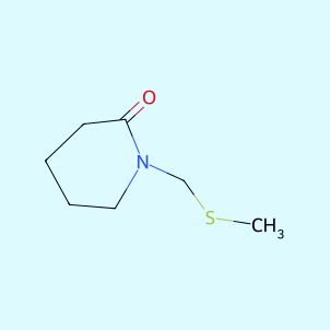 CSCN1CCCCC1=O